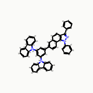 c1ccc(-c2nn(-c3ccccc3)c3c2ccc2cc(-c4cc(-n5c6ccccc6c6ccccc65)cc(-n5c6ccccc6c6ccccc65)c4)ccc23)cc1